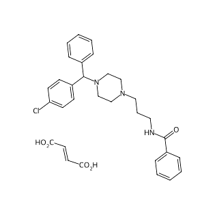 O=C(NCCCN1CCN(C(c2ccccc2)c2ccc(Cl)cc2)CC1)c1ccccc1.O=C(O)C=CC(=O)O